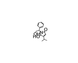 CC(C)C1=CC(=O)N(C(CO)c2ccccc2)C1O